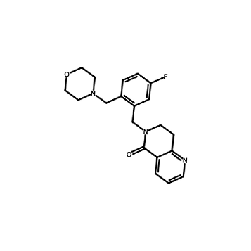 O=C1c2cccnc2CCN1Cc1cc(F)ccc1CN1CCOCC1